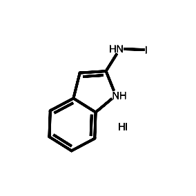 I.INc1cc2ccccc2[nH]1